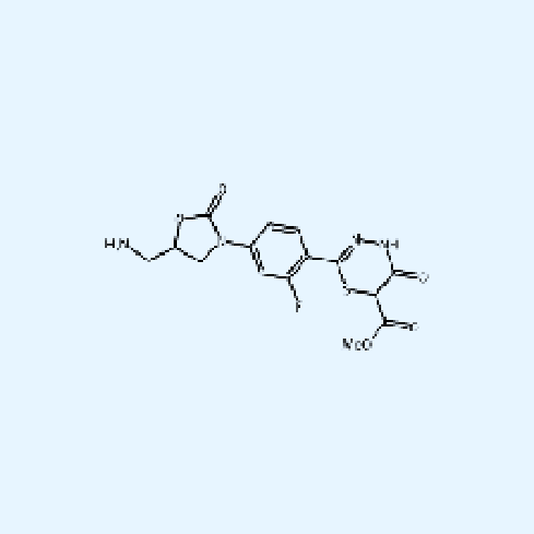 COC(=O)C1SC(c2ccc(N3CC(CN)OC3=O)cc2F)=NNC1=O